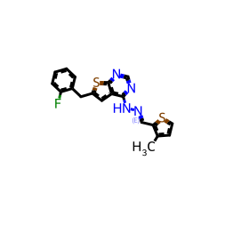 Cc1ccsc1/C=N/Nc1ncnc2sc(Cc3ccccc3F)cc12